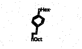 CCCCC[CH]c1ccc(CCCCCCCCCC)cc1